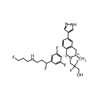 C[C@@H]1Cc2cc(-c3cn[nH]c3)ccc2[C@@H](c2c(F)cc(C(F)CCNCCCF)cc2F)N1CC(F)(F)CO